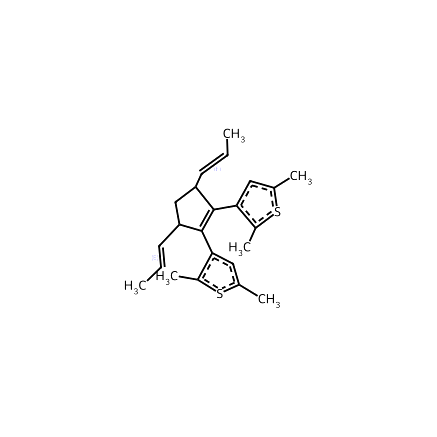 C/C=C/C1CC(/C=C/C)C(c2cc(C)sc2C)=C1c1cc(C)sc1C